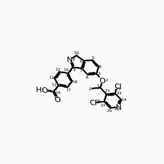 CC(Oc1ccc2c(c1)C(c1ccc(C(=O)O)cc1)=NC2)c1c(Cl)cncc1Cl